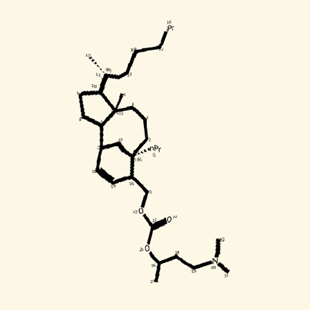 CCC[C@]12CCC[C@]3(C)C(CCC3[C@H](C)CCCC(C)C)C(C=CC1COC(=O)OC(C)CCN(C)C)C2